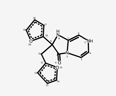 O=C1N2C=CNC=C2NC1(Cc1ccco1)c1ccco1